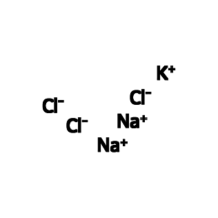 [Cl-].[Cl-].[Cl-].[K+].[Na+].[Na+]